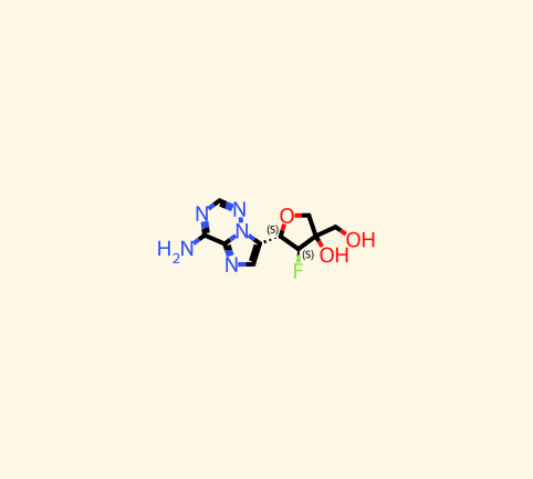 Nc1ncnn2c([C@@H]3OCC(O)(CO)[C@H]3F)cnc12